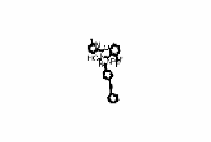 Cc1cccc(COc2cccc(C(F)(F)F)c2-c2nc(O)nc(-c3ccc(C#Cc4ccccc4)cc3)n2)n1